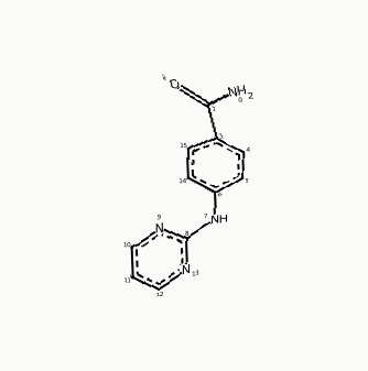 NC(=O)c1ccc(Nc2ncccn2)cc1